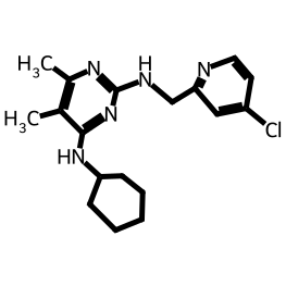 Cc1nc(NCc2cc(Cl)ccn2)nc(NC2CCCCC2)c1C